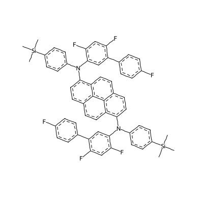 C[Si](C)(C)c1ccc(N(c2cc(-c3ccc(F)cc3)c(F)cc2F)c2ccc3ccc4c(N(c5ccc([Si](C)(C)C)cc5)c5cc(-c6ccc(F)cc6)c(F)cc5F)ccc5ccc2c3c54)cc1